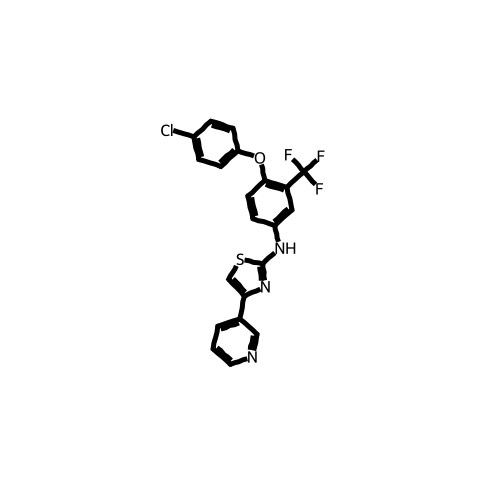 FC(F)(F)c1cc(Nc2nc(-c3cccnc3)cs2)ccc1Oc1ccc(Cl)cc1